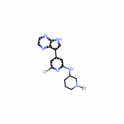 CCN1CCCC(Nc2cc(-c3c[nH]c4nccnc34)cc(Cl)n2)C1